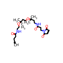 C#CCCC(=O)NCCOC(C)(C)CCOC(C)(C)CCNC(=O)CCN1C(=O)C=CC1=O